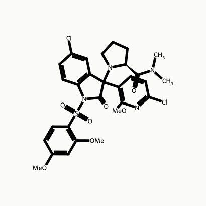 COc1ccc(S(=O)(=O)N2C(=O)C(c3ccc(Cl)nc3OC)(N3CCC[C@H]3C(=O)N(C)C)c3cc(Cl)ccc32)c(OC)c1